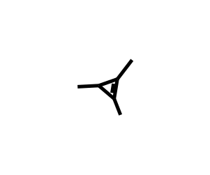 CC1=C(C)C1C